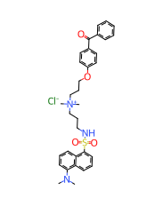 CN(C)c1cccc2c(S(=O)(=O)NCCC[N+](C)(C)CCCOc3ccc(C(=O)c4ccccc4)cc3)cccc12.[Cl-]